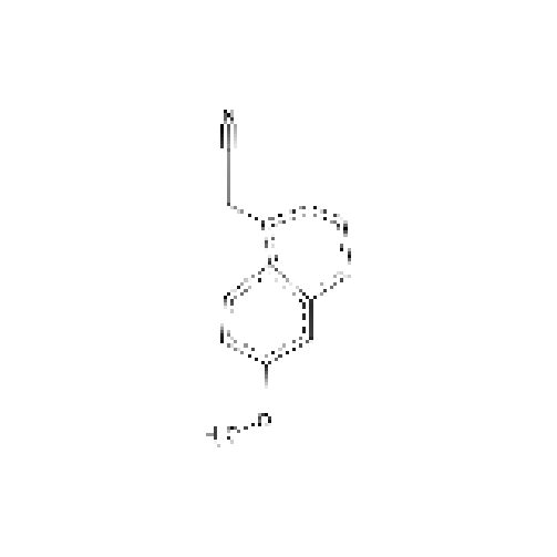 COc1ccc2c(CC#N)cccc2c1